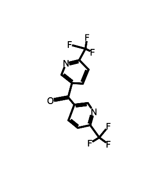 O=C(c1ccc(C(F)(F)F)nc1)c1ccc(C(F)(F)F)nc1